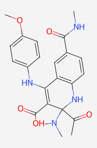 CNC(=O)c1ccc2c(c1)C(Nc1ccc(OC)cc1)=C(C(=O)O)C(C(C)=O)(N(C)C)N2